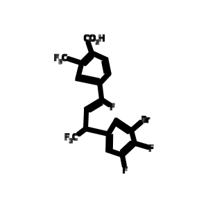 O=C(O)c1ccc(C(F)=CC(c2cc(F)c(F)c(Br)c2)C(F)(F)F)cc1C(F)(F)F